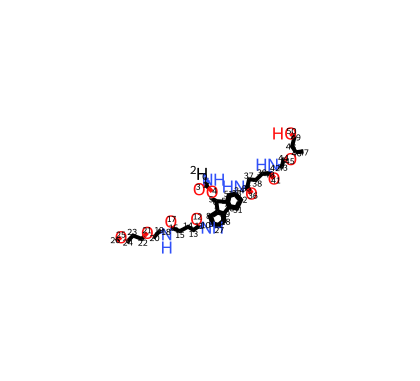 [2H]NC(=O)OCC1c2cc(NC(=O)CCCC(=O)NCCOCCCOC)ccc2-c2ccc(NC(=O)CCCC(=O)NCCOC(C)CCO)cc21